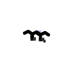 CCC(=N)/C=C(\N)CC